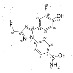 N[S+]([O-])c1ccc(-n2nc(CF)cc2-c2ccc(O)c(F)c2)cc1